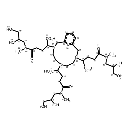 CN(CC(O)CO)C(=O)CCC(C(=O)O)N1CCN(C(CCC(=O)N(C)CC(O)CO)C(=O)O)Cc2cccc(n2)CN(C(CCC(=O)N(C)CC(O)CO)C(=O)O)CC1